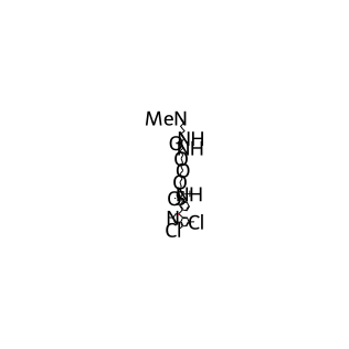 CNCCCCNC(=O)NCCOCCOCCOCCN[S+]([O-])c1cccc(C2CN(C)Cc3c(Cl)cc(Cl)cc32)c1